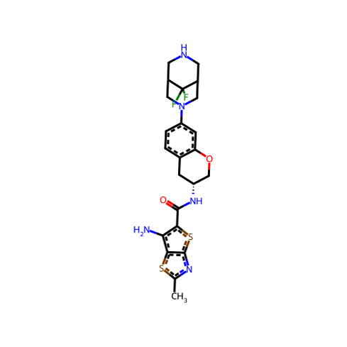 Cc1nc2sc(C(=O)N[C@H]3COc4cc(N5CC6CNCC(C5)C6(F)F)ccc4C3)c(N)c2s1